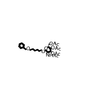 CC(=O)N[C@H]1[C@H](OCCCCCCOCc2ccccc2)O[C@H](COC(C)=O)[C@H](OC(C)=O)[C@@H]1OC(C)=O